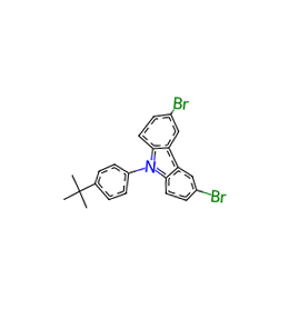 CC(C)(C)c1ccc(-n2c3ccc(Br)cc3c3cc(Br)ccc32)cc1